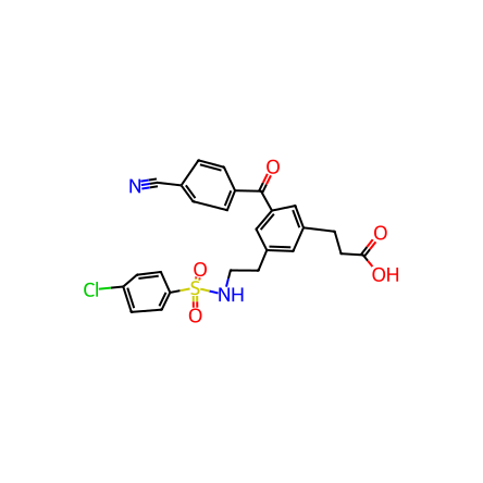 N#Cc1ccc(C(=O)c2cc(CCNS(=O)(=O)c3ccc(Cl)cc3)cc(CCC(=O)O)c2)cc1